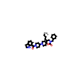 CCCCC1CN(CC2CCCCC2)C(=O)OC12CCN(C1CCN(C(=O)c3cccc4c3NCC4)CC1)CC2